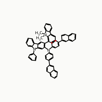 C[Si]1(C)c2ccccc2-c2cccc(-c3cc4c5ccccc5n(-c5ccccc5)c4cc3N(c3ccc(-c4ccc5ccccc5c4)cc3)c3ccc(-c4ccc5ccccc5c4)cc3)c21